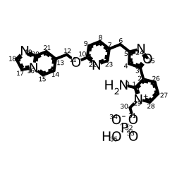 Nc1c(-c2cc(Cc3ccc(OCc4ccn5ccnc5c4)nc3)no2)ccc[n+]1COP(=O)([O-])O